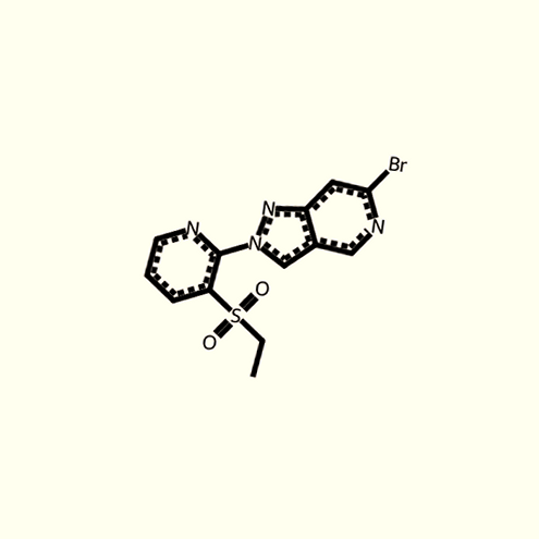 CCS(=O)(=O)c1cccnc1-n1cc2cnc(Br)cc2n1